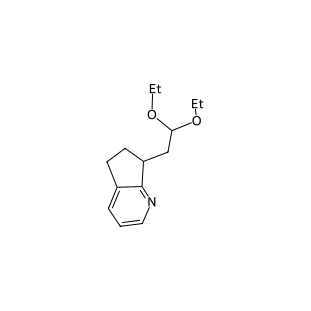 CCOC(CC1CCc2cccnc21)OCC